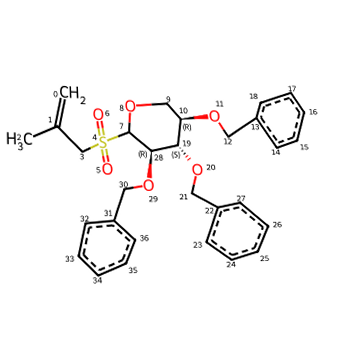 C=C(C)CS(=O)(=O)C1OC[C@@H](OCc2ccccc2)[C@H](OCc2ccccc2)[C@H]1OCc1ccccc1